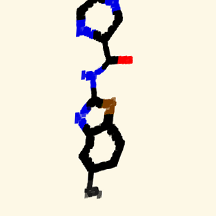 O=C(Nc1nc2cc([N+](=O)[O-])ccc2s1)c1cnccn1